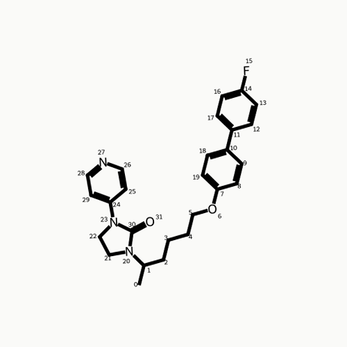 CC(CCCCOc1ccc(-c2ccc(F)cc2)cc1)N1CCN(c2ccncc2)C1=O